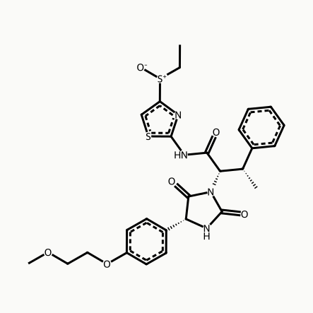 CC[S+]([O-])c1csc(NC(=O)[C@H]([C@@H](C)c2ccccc2)N2C(=O)N[C@H](c3ccc(OCCOC)cc3)C2=O)n1